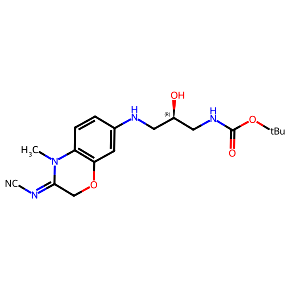 CN1C(=NC#N)COc2cc(NC[C@@H](O)CNC(=O)OC(C)(C)C)ccc21